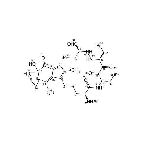 CC(=O)N[C@@H](CSCC1=C(C)C=C2C(=O)[C@](C)(O)C3(CC3)C(C)=C21)C(=O)N[C@@H](CC(C)C)C(=O)C(=O)[C@H](CC(C)C)NN[C@H](C=O)CC(C)C